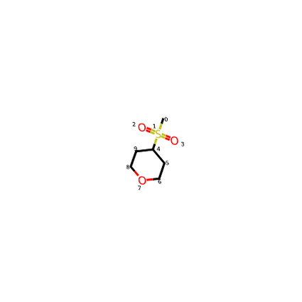 CS(=O)(=O)C1CCOCC1